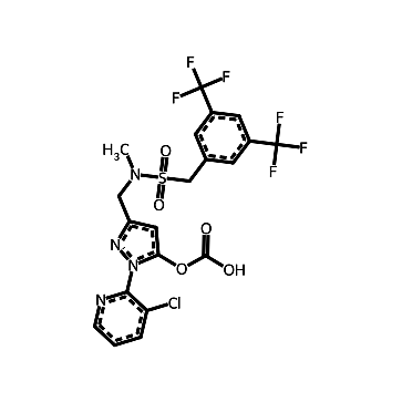 CN(Cc1cc(OC(=O)O)n(-c2ncccc2Cl)n1)S(=O)(=O)Cc1cc(C(F)(F)F)cc(C(F)(F)F)c1